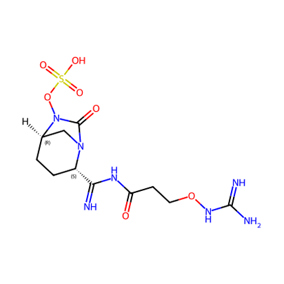 N=C(N)NOCCC(=O)NC(=N)[C@@H]1CC[C@@H]2CN1C(=O)N2OS(=O)(=O)O